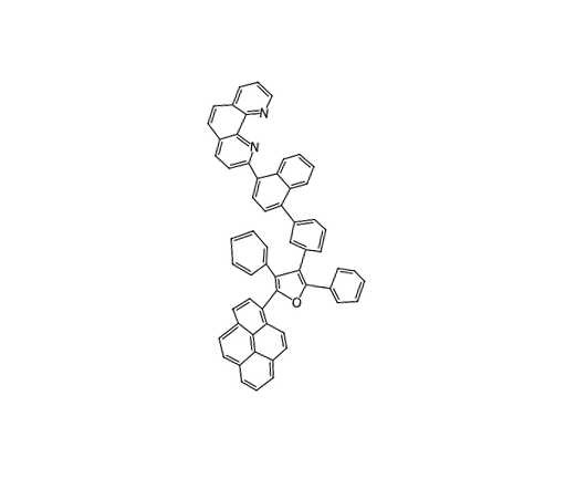 c1ccc(-c2oc(-c3ccc4ccc5cccc6ccc3c4c56)c(-c3ccccc3)c2-c2cccc(-c3ccc(-c4ccc5ccc6cccnc6c5n4)c4ccccc34)c2)cc1